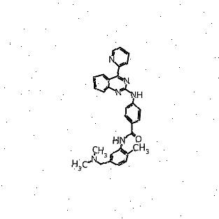 Cc1ccc(CN(C)C)cc1NC(=O)c1ccc(Nc2nc(-c3ccccn3)c3ccccc3n2)cc1